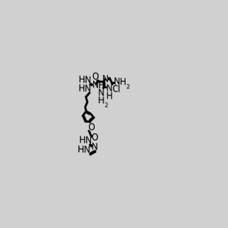 N=C(NCCCCc1ccc(OCC(=O)Nc2ncc[nH]2)cc1)NC(=O)C1=C(N)NC(N)(Cl)C=N1